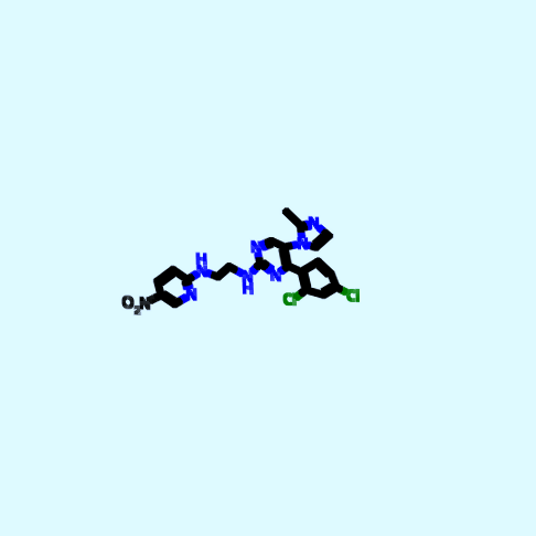 Cc1nccn1-c1cnc(NCCNc2ccc([N+](=O)[O-])cn2)nc1-c1ccc(Cl)cc1Cl